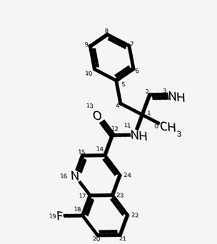 CC(C=N)(Cc1ccccc1)NC(=O)c1cnc2c(F)cccc2c1